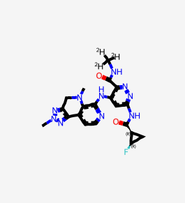 [2H]C([2H])([2H])NC(=O)c1nnc(NC(=O)[C@H]2C[C@H]2F)cc1Nc1nccc2c1N(C)Cc1nn(C)nc1-2